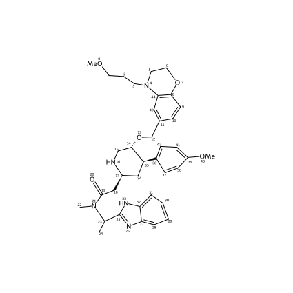 COCCCN1CCOc2ccc(CO[C@H]3CN[C@H](CC(=O)N(C)C(C)c4nc5ccccc5[nH]4)C[C@@H]3c3ccc(OC)cc3)cc21